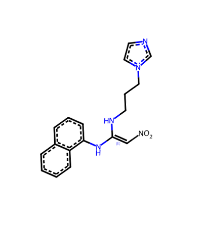 O=[N+]([O-])/C=C(\NCCCn1ccnc1)Nc1cccc2ccccc12